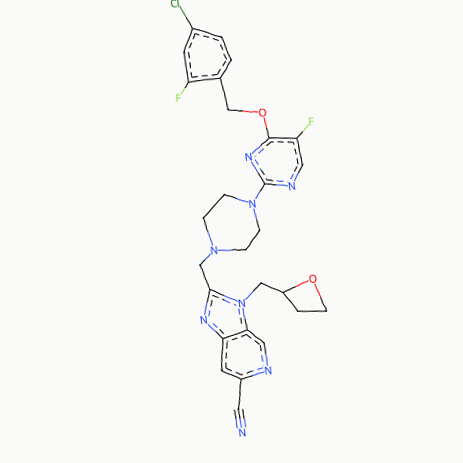 N#Cc1cc2nc(CN3CCN(c4ncc(F)c(OCc5ccc(Cl)cc5F)n4)CC3)n(CC3CCO3)c2cn1